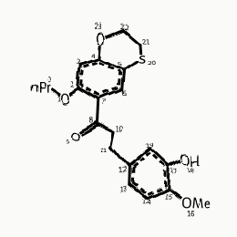 CCCOc1cc2c(cc1C(=O)CCc1ccc(OC)c(O)c1)SCCO2